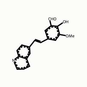 COc1cc(C=Cc2ccc3ncccc3c2)cc(C=O)c1O